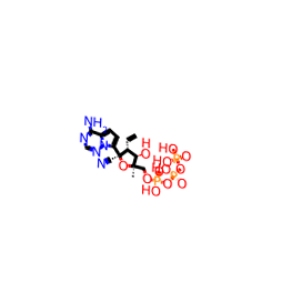 C=C[C@@H]1[C@H](O)[C@@](C)(COP(=O)(O)OP(=O)(O)OP(=O)(O)O)O[C@@]1(C#N)c1ccc2c(N)ncnn12